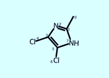 Cc1nc(Cl)c(Cl)[nH]1